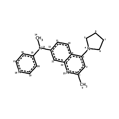 Cc1cc(N2CCCC2)c2ccc(N(C)c3ccncc3)cc2n1